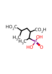 CC(CC(C(=O)O)C(C)P(=O)(O)O)C(=O)O